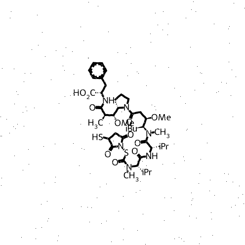 CC[C@H](C)[C@@H]([C@@H](CC(=O)N1CCC[C@H]1[C@H](OC)[C@@H](C)C(=O)N[C@@H](Cc1ccccc1)C(=O)O)OC)N(C)C(=O)[C@@H](NC(=O)[C@H](C(C)C)N(C)C(=O)SN1C(=O)CC(S)C1=O)C(C)C